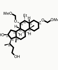 CC[C@H]1[C@@H](OCOC)[C@@H]2[C@H](CC[C@]3(C)[C@@H]([C@H](C)CCO)[C@@H](O)C[C@@H]23)[C@@]2(C)CC[C@@H](OCOC)C[C@@H]12